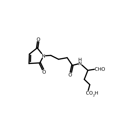 O=CC(CCC(=O)O)NC(=O)CCCN1C(=O)C=CC1=O